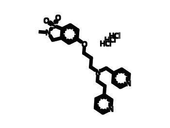 CN1Cc2cc(OCCCN(CCc3cccnc3)Cc3ccncc3)ccc2S1(=O)=O.Cl.Cl.Cl